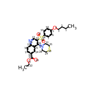 CCCCOc1ccc(S(=O)(=O)c2cnc3ccc(C(=O)OCC)cc3c2N2CCSCC2)cc1